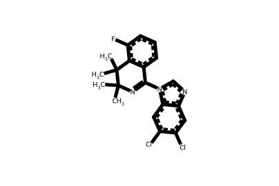 CC1(C)N=C(n2cnc3cc(Cl)c(Cl)cc32)c2cccc(F)c2C1(C)C